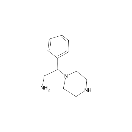 NCC(c1ccccc1)N1CCNCC1